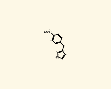 COc1ccc(Cc2cc[nH]c2)cc1